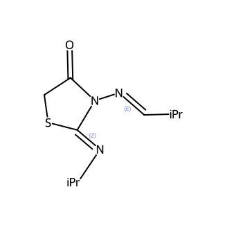 CC(C)/C=N/N1C(=O)CS/C1=N\C(C)C